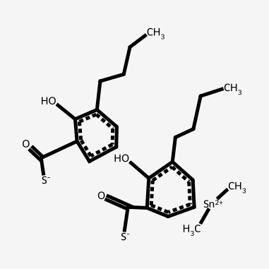 CCCCc1cccc(C(=O)[S-])c1O.CCCCc1cccc(C(=O)[S-])c1O.[CH3][Sn+2][CH3]